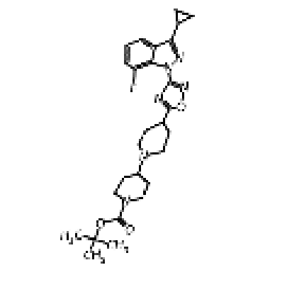 CC(C)(C)OC(=O)N1CCC(N2CCC(c3nc(-n4nc(C5CC5)c5cccc(F)c54)no3)CC2)CC1